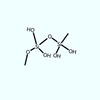 CO[Si](O)(O)O[Si](C)(O)O